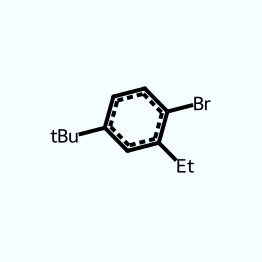 CCc1cc(C(C)(C)C)ccc1Br